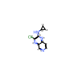 Clc1nc2cnccc2nc1NC1CC1